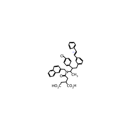 CC(C(Cc1cccc(/C=C/c2ccccc2)c1)c1ccc(Cl)cc1)N(Cc1ccc2ccccc2c1)C(=O)CC(CC(=O)O)C(=O)O